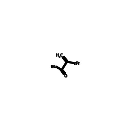 C=C(CCC)C(=O)C(C)(C)C